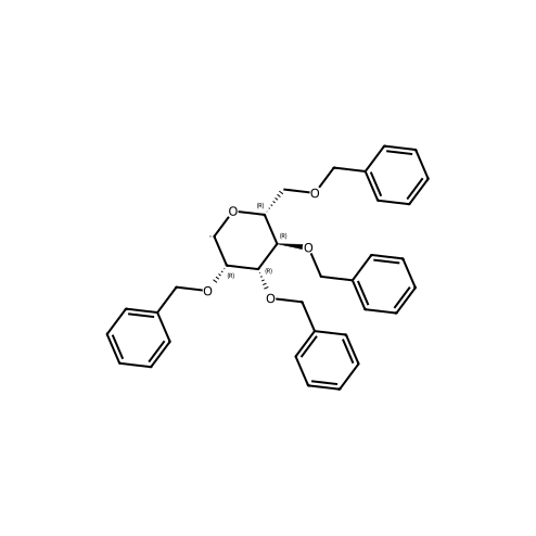 [CH]1O[C@H](COCc2ccccc2)[C@@H](OCc2ccccc2)[C@H](OCc2ccccc2)[C@@H]1OCc1ccccc1